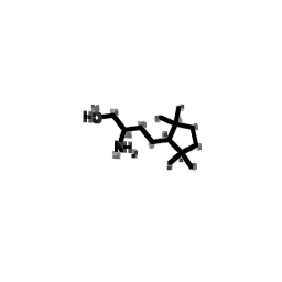 CC1(C)CCC(C)(C)C1CCC(N)CO